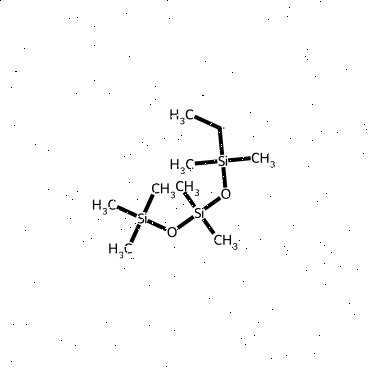 C[CH][Si](C)(C)O[Si](C)(C)O[Si](C)(C)C